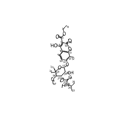 CCOC(=O)c1c(O)c2ccc(O[C@@H]3OC(C)(C)[C@H](OC)[C@@H](OC(=O)NC(C)C)[C@H]3O)c(C)c2oc1=O